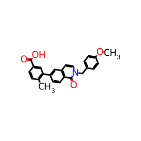 COc1ccc(Cn2ccc3cc(-c4cc(C(=O)O)ccc4C)ccc3c2=O)cc1